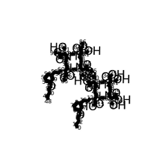 CCCCOc1cccc(CCC[C@@H](C(=O)O)N2CCN([C@@H](CO)C(=O)O)CCN([C@@H](CO)C(=O)O)CCN([C@@H](CO)C(=O)O)CC2)c1.CCCCOc1cccc(CCC[C@@H](C(=O)OC)N2CCN([C@@H](CO)C(=O)OC)CCN([C@@H](CO)C(=O)OC)CCN([C@@H](CO)C(=O)OC)CC2)c1